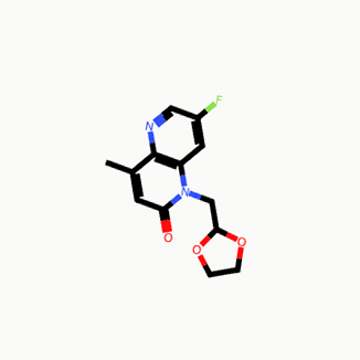 Cc1cc(=O)n(CC2OCCO2)c2cc(F)cnc12